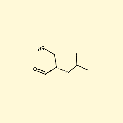 CC(C)C[C@H](C=O)CS